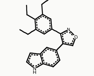 CCc1cc(-c2nocc2-c2ccc3[nH]ccc3c2)cc(CC)c1CC